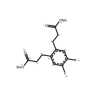 COC(=O)CCc1cc(F)c(F)cc1CCC(=O)OC